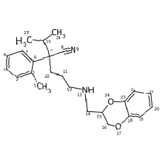 Cc1ccccc1C(C#N)(CCCNCC1COc2ccccc2O1)C(C)C